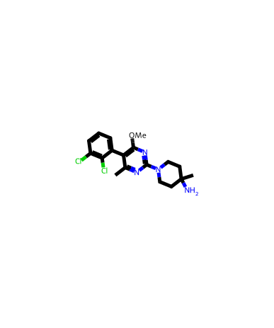 COc1nc(N2CCC(C)(N)CC2)nc(C)c1-c1cccc(Cl)c1Cl